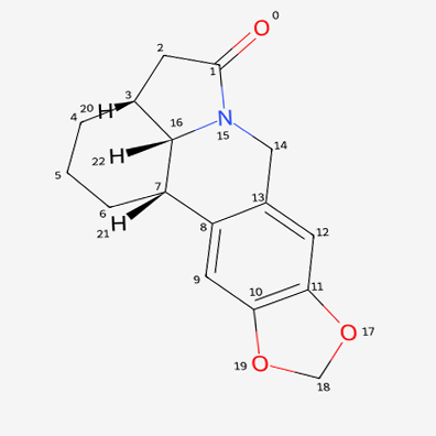 O=C1C[C@H]2CCC[C@H]3c4cc5c(cc4CN1[C@@H]23)OCO5